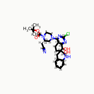 CC(C)(C)OC(=O)N1CCN(c2nc(Cl)nc3c2CCC2(Cc4ccccc4NC2O)C3O)C[C@@H]1CC#N